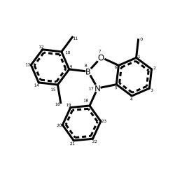 Cc1cccc2c1OB(c1c(C)cccc1C)N2c1ccccc1